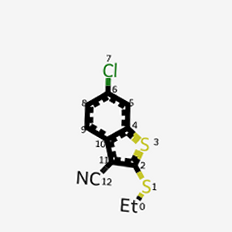 CCSc1sc2cc(Cl)ccc2c1C#N